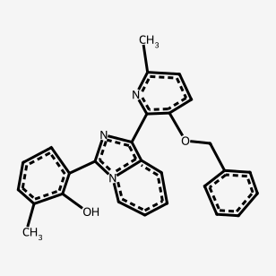 Cc1ccc(OCc2ccccc2)c(-c2nc(-c3cccc(C)c3O)n3ccccc23)n1